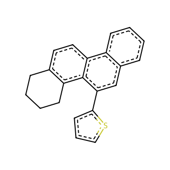 c1csc(-c2cc3ccccc3c3ccc4c(c23)CCCC4)c1